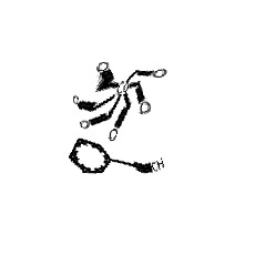 C#Cc1ccccc1.O=[CH][Co]([CH]=O)([CH]=O)([CH]=O)([CH]=O)[CH]=O